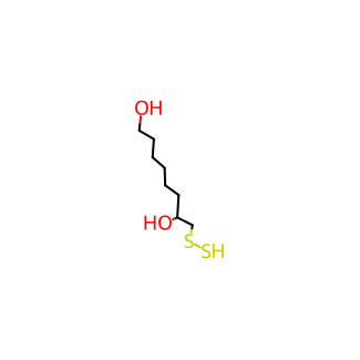 OCCCCCCC(O)CSS